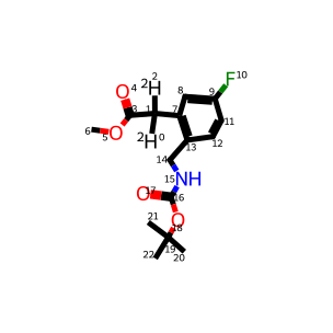 [2H]C([2H])(C(=O)OC)c1cc(F)ccc1CNC(=O)OC(C)(C)C